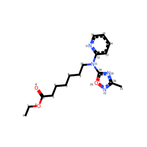 CCOC(=O)CCCCCCN(c1ccccn1)c1nc(C)no1